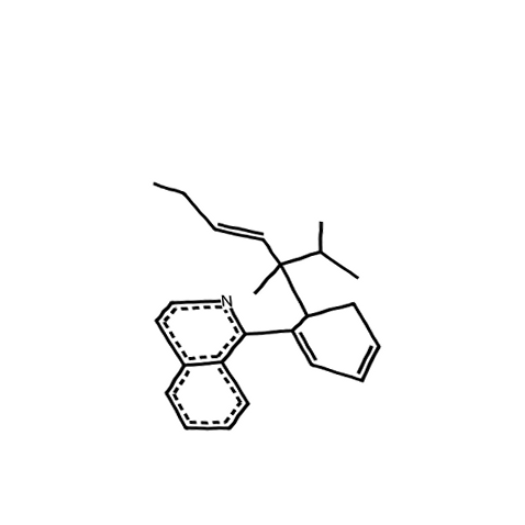 CCC=CC(C)(C(C)C)C1CC=CC=C1c1nccc2ccccc12